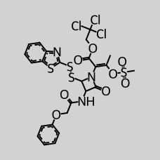 C/C(OS(C)(=O)=O)=C(\C(=O)OCC(Cl)(Cl)Cl)N1C(=O)C(NC(=O)COc2ccccc2)C1SSc1nc2ccccc2s1